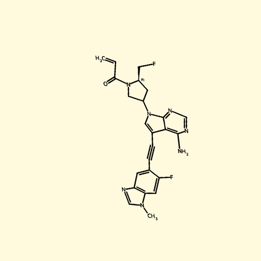 C=CC(=O)N1CC(n2cc(C#Cc3cc4ncn(C)c4cc3F)c3c(N)ncnc32)C[C@@H]1CF